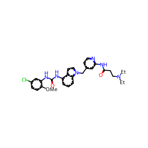 CCN(CC)CCC(=O)Nc1cc(Cn2ccc3c(NC(=O)Nc4cc(Cl)ccc4OC)cccc32)ccn1